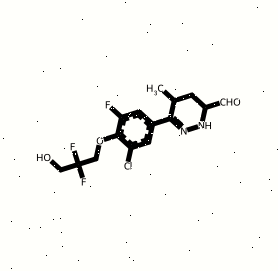 CC1CC(C=O)NN=C1c1cc(F)c(OCC(F)(F)CO)c(Cl)c1